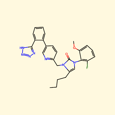 CCCCc1cn(-c2c(F)cccc2OC)c(=O)n1Cc1ccc(-c2ccccc2-c2nnn[nH]2)cn1